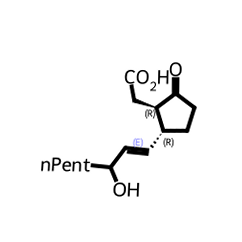 CCCCCC(O)/C=C/[C@H]1CCC(=O)[C@@H]1CC(=O)O